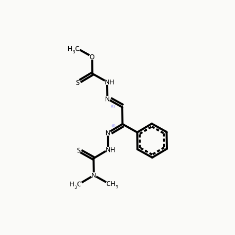 COC(=S)N/N=C/C(=N/NC(=S)N(C)C)c1ccccc1